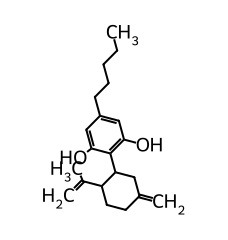 C=C1CCC(C(=C)C)C(c2c(O)cc(CCCCC)cc2O)C1